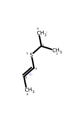 [CH2]C(C)S/C=[C]/C